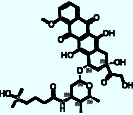 COc1cccc2c1C(=O)c1c(O)c3c(c(O)c1C2=O)C[C@@](O)(C(=O)CO)C[C@@H]3O[C@H]1C[C@H](NC(=O)CCC[Si](C)(C)O)[C@H](C)[C@H](C)O1